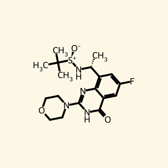 C[C@@H](N[S@+]([O-])C(C)(C)C)c1cc(F)cc2c(=O)[nH]c(N3CCOCC3)nc12